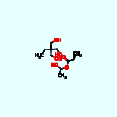 C=CC(=O)OC(C)O.CCC(CO)(CO)CO